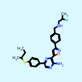 CCC(C)Sc1ccc(-c2cnc(N)c(-c3cc(-c4ccc(CNCC(C)F)cc4)no3)n2)cc1